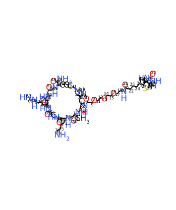 C[C@@H]1NC(=O)C(NC(=O)COCCOCCOCCNC(=O)CCCCC2SC[C@H]3NC(=O)N[C@@H]23)Cc2cn(nn2)CCCCC(C(N)=O)NC(=O)CNC(=O)[C@H](CCCNC=N)NC(=O)CNC(=O)[C@H](CCCCN)NC1=O